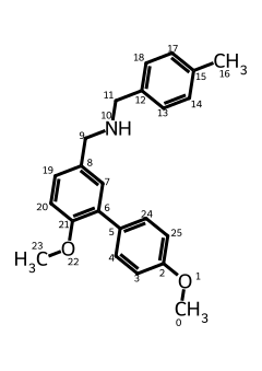 COc1ccc(-c2cc(CNCc3ccc(C)cc3)ccc2OC)cc1